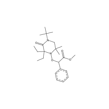 CCC1(CC)C(=O)N(C(C)(C)C)CC(C)(C)N1OC(C(=O)OC)c1ccccc1